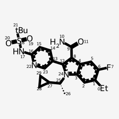 CCc1cc2c(cc1F)c(C(N)=O)c(-c1ccc(NS(=O)(=O)C(C)(C)C)nc1)n2[C@H](C)C1CC1